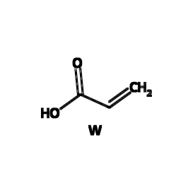 C=CC(=O)O.[W]